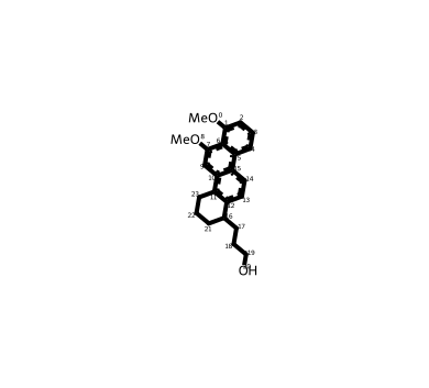 COc1cccc2c1c(OC)cc1c3c(ccc12)C(CC[CH]O)CCC3